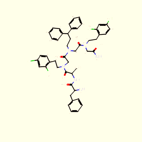 CC(C)C(NC(=O)C(N)Cc1ccccc1)C(=O)N(CCc1ccc(Cl)cc1Cl)CC(=O)N(CCC(c1ccccc1)c1ccccc1)CC(=O)N(CCc1ccc(Cl)cc1Cl)CC(N)=O